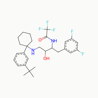 CC(C)(C)c1cccc(C2(NCC(O)C(Cc3cc(F)cc(F)c3)NC(=O)C(F)(F)F)CCCCC2)c1